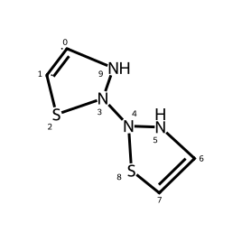 [C]1=[C]SN(N2NC=CS2)N1